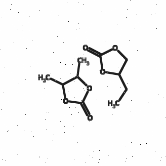 CC1OC(=O)OC1C.CCC1COC(=O)O1